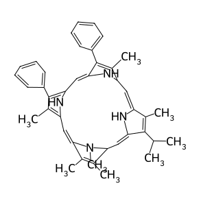 CC1=C(C)C2/C=c3\[nH]/c(c(C)c3C(C)C)=C\C3N/C(=C\c4[nH]c(c(C)c4-c4ccccc4)/C=C/1N2C)C(c1ccccc1)=C3C